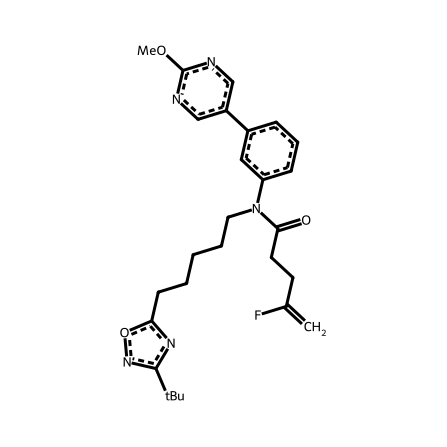 C=C(F)CCC(=O)N(CCCCCc1nc(C(C)(C)C)no1)c1cccc(-c2cnc(OC)nc2)c1